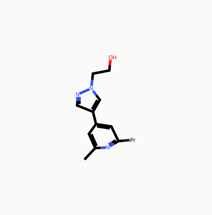 Cc1cc(-c2cnn(CCO)c2)cc(C(C)C)n1